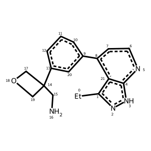 CCc1n[nH]c2nccc(-c3cccc(C4(CN)COC4)c3)c12